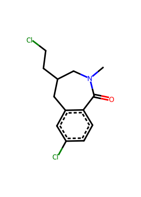 CN1CC(CCCl)Cc2cc(Cl)ccc2C1=O